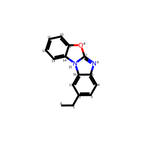 CCc1ccc2nc3oc4ccccc4n3c2c1